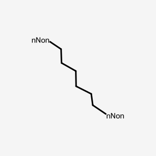 CCCCC[CH]CCCCCCCCCCCCCCCCCC